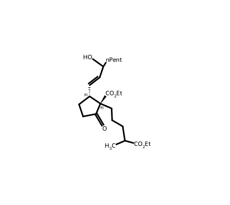 CCCCCC(O)C=C[C@H]1CCC(=O)[C@]1(CCCC(C)C(=O)OCC)C(=O)OCC